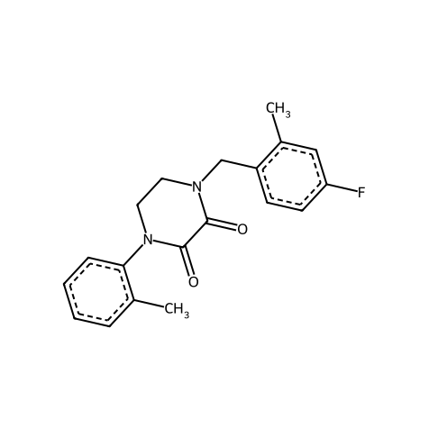 Cc1cc(F)ccc1CN1CCN(c2ccccc2C)C(=O)C1=O